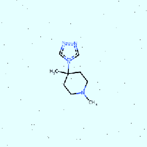 CN1CCC(C)(n2cnnc2)CC1